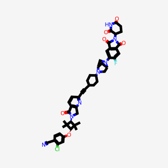 CC1(C)[C@H](Oc2ccc(C#N)c(Cl)c2)C(C)(C)[C@H]1N1Cc2nc(C#CC3CCC(N4CC5CC4CN5c4cc5c(cc4F)C(=O)N(C4CCC(=O)NC4=O)C5=O)CC3)ccc2C1=O